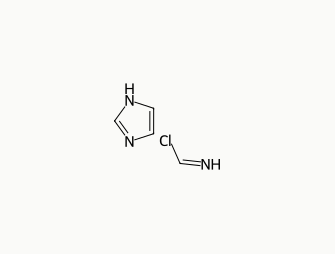 N=CCl.c1c[nH]cn1